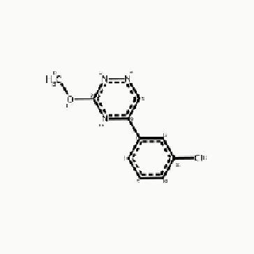 COc1nncc(-c2cccc(Cl)c2)n1